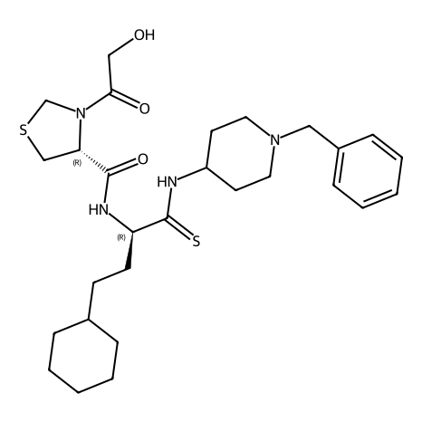 O=C(N[C@H](CCC1CCCCC1)C(=S)NC1CCN(Cc2ccccc2)CC1)[C@@H]1CSCN1C(=O)CO